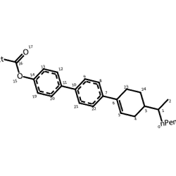 CCCCCC(C)C1CC=C(c2ccc(-c3ccc(OC(=O)CC)cc3)cc2)CC1